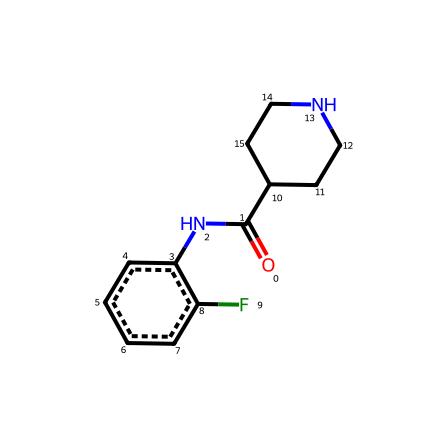 O=C(Nc1ccccc1F)C1CCNCC1